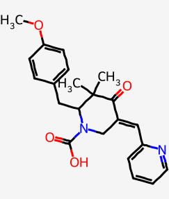 COc1ccc(CC2N(C(=O)O)CC(=Cc3ccccn3)C(=O)C2(C)C)cc1